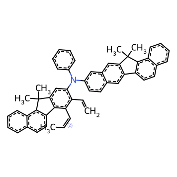 C=Cc1c(N(c2ccccc2)c2ccc3cc4c(cc3c2)C(C)(C)c2c-4ccc3ccccc23)cc2c(c1/C=C\C)-c1ccc3ccccc3c1C2(C)C